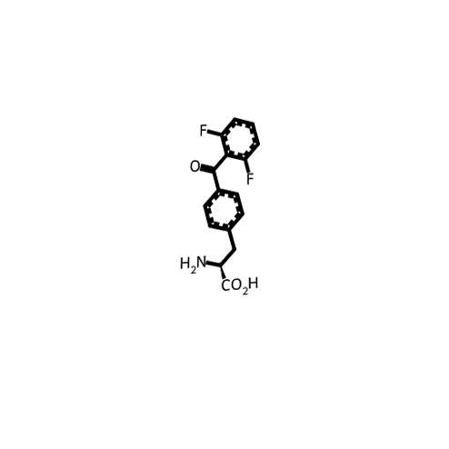 N[C@@H](Cc1ccc(C(=O)c2c(F)cccc2F)cc1)C(=O)O